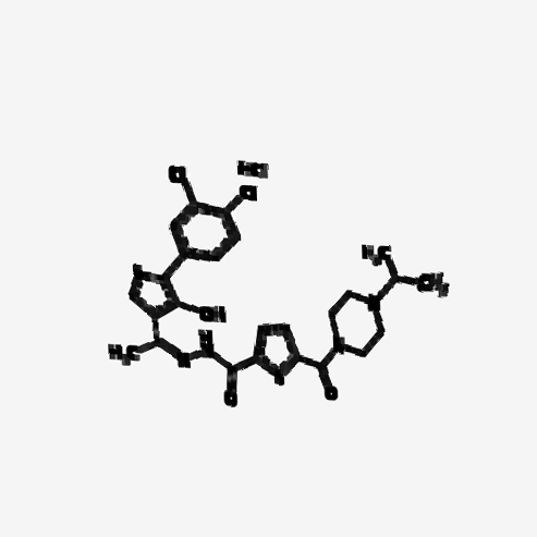 CC(=NNC(=O)c1ccc(C(=O)N2CCN(C(C)C)CC2)s1)c1csc(-c2ccc(Cl)c(Cl)c2)c1O.Cl